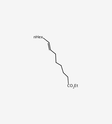 CCCCCC/C=C/CCCCCC(=O)OCC